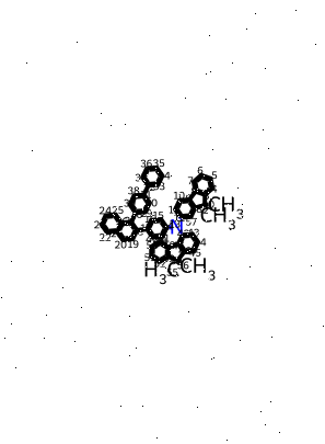 CC1(C)c2ccccc2-c2ccc(N(c3ccc(-c4ccc5ccccc5c4-c4ccc(-c5ccccc5)cc4)cc3)c3cccc4c3-c3ccccc3C4(C)C)cc21